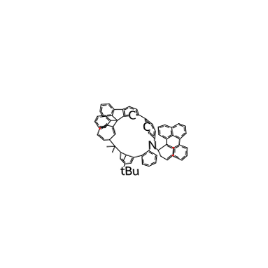 CC1C2=CC(C(C)(C)C)=CC1C(C)(C)C1C=CC=CC(=C1)C1(c3ccccc3)c3ccccc3-c3ccc(cc31)-c1ccc(cc1)N(C1CC=CC=C1c1cccc3cccc(-c4ccccc4)c13)c1ccccc12